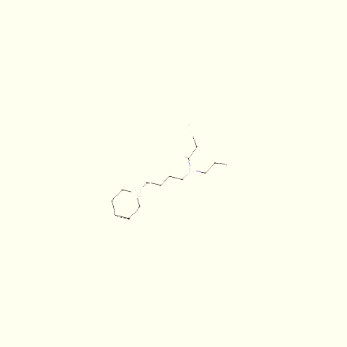 CCCN(CCC)CCC[CH2][Al]1[CH2]CCC[CH2]1